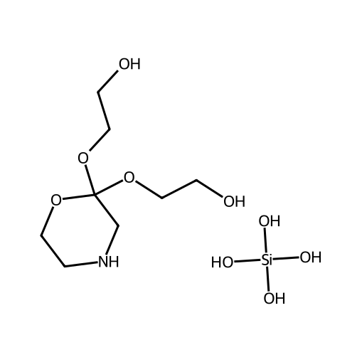 OCCOC1(OCCO)CNCCO1.O[Si](O)(O)O